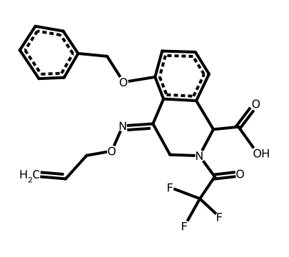 C=CCON=C1CN(C(=O)C(F)(F)F)C(C(=O)O)c2cccc(OCc3ccccc3)c21